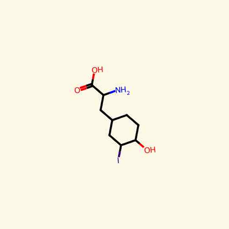 NC(CC1CCC(O)C(I)C1)C(=O)O